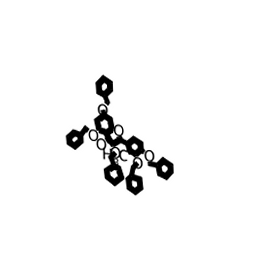 Cc1c(-c2oc3cc(OCc4ccccc4)cc(OCc4ccccc4)c3c(=O)c2OCc2ccccc2)ccc(OCc2ccccc2)c1OCc1ccccc1